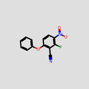 N#Cc1c(Oc2ccccc2)ccc([N+](=O)[O-])c1F